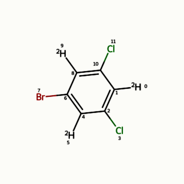 [2H]c1c(Cl)c([2H])c(Br)c([2H])c1Cl